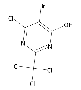 Oc1nc(C(Cl)(Cl)Cl)nc(Cl)c1Br